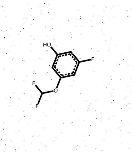 Oc1cc(F)cc(OC(F)F)c1